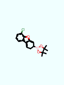 CC1(C)OB(C2C=c3oc4c(Cl)cccc4c3=CC2)OC1(C)C